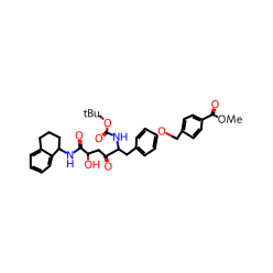 COC(=O)c1ccc(COc2ccc(CC(NC(=O)OC(C)(C)C)C(=O)CC(O)C(=O)NC3CCCc4ccccc43)cc2)cc1